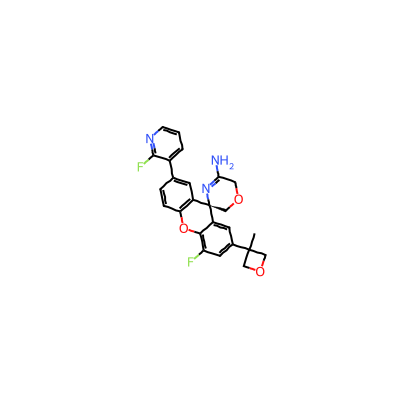 CC1(c2cc(F)c3c(c2)[C@]2(COCC(N)=N2)c2cc(-c4cccnc4F)ccc2O3)COC1